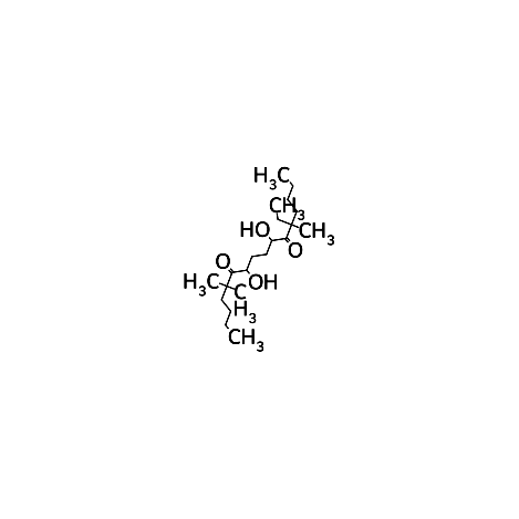 CCCCC(C)(C)C(=O)C(O)CCC(O)C(=O)C(C)(CC)CCCC